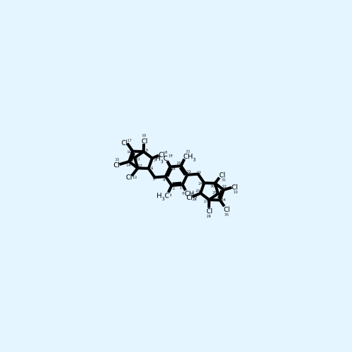 Cc1c(C)c(CC2C(Cl)C3(Cl)CC2(Cl)C(Cl)=C3Cl)c(C)c(C)c1CC1C(Cl)C2(Cl)CC1(Cl)C(Cl)=C2Cl